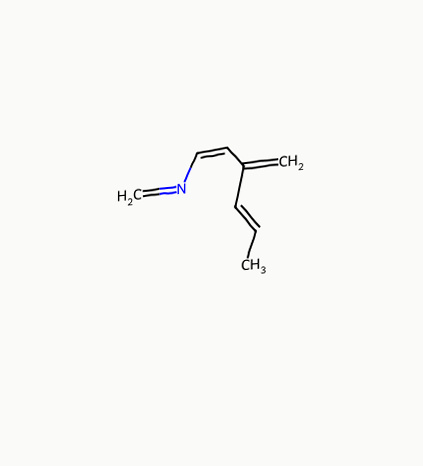 C=N/C=C\C(=C)/C=C/C